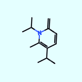 C=C1C=CC(C(C)C)=C(C)N1C(C)C